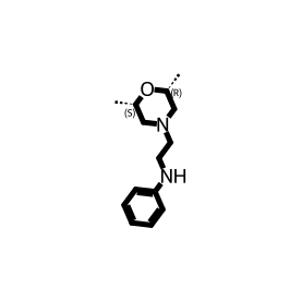 C[C@@H]1CN(CCNc2ccccc2)C[C@H](C)O1